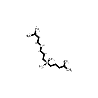 CC(C)CCC[Si](C)(C)CCCOCCC(C)C